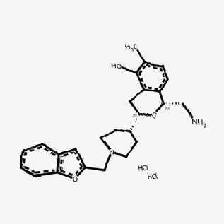 Cc1ccc2c(c1O)C[C@@H](C1CCN(Cc3cc4ccccc4o3)CC1)O[C@H]2CN.Cl.Cl